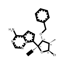 C#C[C@@]1(c2ccc3c(N)ncnn23)O[C@H](CC)[C@@H](C)[C@H]1OCc1ccccc1